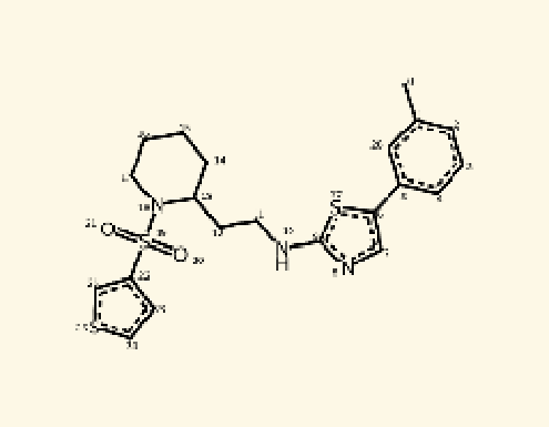 Cc1[c]ccc(-c2cnc(NCCC3CCCCN3S(=O)(=O)c3ccsc3)s2)c1